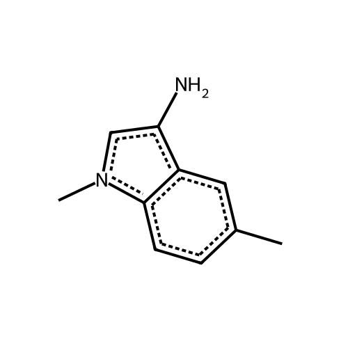 Cc1ccc2c(c1)c(N)cn2C